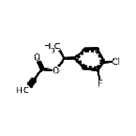 C#CC(=O)OC(C)c1ccc(Cl)c(F)c1